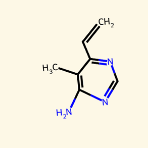 C=Cc1ncnc(N)c1C